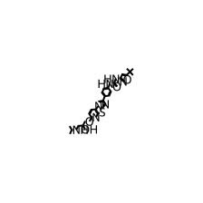 CC(C)NCC(O)COc1ccc2c(n1)sc1nc(-c3ccc(NC(=O)Nc4cc(C(C)(C)C)on4)cc3)cn12